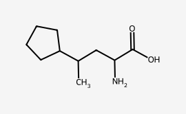 CC(CC(N)C(=O)O)C1CCCC1